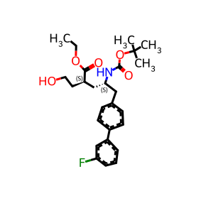 CCOC(=O)[C@H](CCO)C[C@@H](Cc1ccc(-c2cccc(F)c2)cc1)NC(=O)OC(C)(C)C